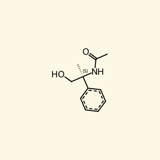 CC(=O)N[C@](C)(CO)c1ccccc1